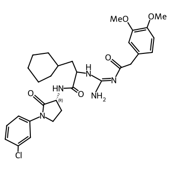 COc1ccc(CC(=O)N=C(N)NC(CC2CCCCC2)C(=O)N[C@@H]2CCN(c3cccc(Cl)c3)C2=O)cc1OC